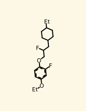 CCOc1ccc(OCC(F)CC2CCC(CC)CC2)c(F)c1